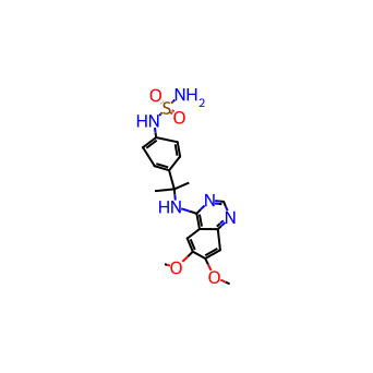 COc1cc2ncnc(NC(C)(C)c3ccc(NS(N)(=O)=O)cc3)c2cc1OC